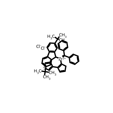 CC(C)(C)c1ccc2c(c1)[CH]([Zr+2]([C]1=C(c3ccsc3)C=CC1)=[C](c1ccccc1)c1ccccc1)c1cc(C(C)(C)C)ccc1-2.[Cl-].[Cl-]